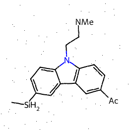 CNCCn1c2ccc([SiH2]C)cc2c2cc(C(C)=O)ccc21